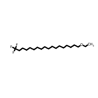 CCOCCCCCCCCCCCCCCCCCC(F)(F)F